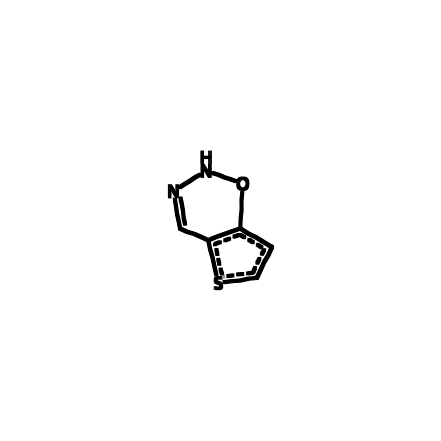 C1=NNOc2ccsc21